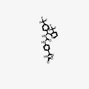 O=C(Nc1ccc(-c2noc(=O)[nH]2)cc1)NC(c1ccc(C(F)(F)F)cc1)c1ncccc1C(F)(F)F